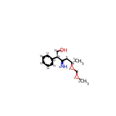 COCO[C@@H](C)CC(=N)[C@H](CO)c1ccccc1